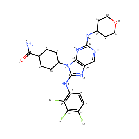 NC(=O)C1CCC(n2c(Nc3ccc(F)c(F)c3F)nc3cnc(NC4CCOCC4)nc32)CC1